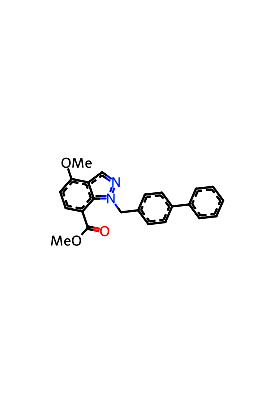 COC(=O)c1ccc(OC)c2cnn(Cc3ccc(-c4ccccc4)cc3)c12